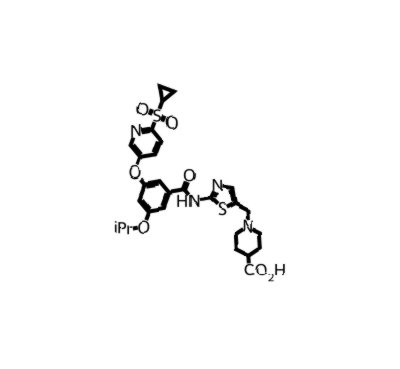 CC(C)Oc1cc(Oc2ccc(S(=O)(=O)C3CC3)nc2)cc(C(=O)Nc2ncc(CN3CCC(C(=O)O)CC3)s2)c1